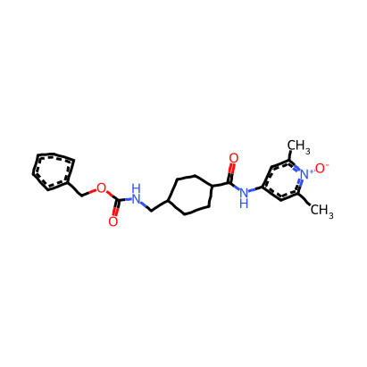 Cc1cc(NC(=O)C2CCC(CNC(=O)OCc3ccccc3)CC2)cc(C)[n+]1[O-]